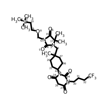 CC1(CN2C(=O)N(COCC[Si](C)(C)C)C(=O)C2(C)C)CCC(N2C(=O)CC(=O)N(CCCC(F)(F)F)C2=O)CC1